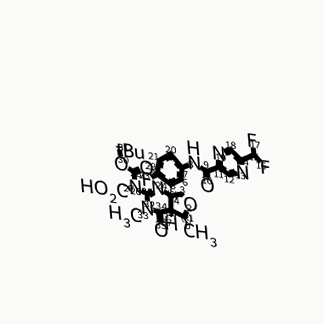 C[C@H]1OC[C@]2(c3cc(NC(=O)c4cnc(C(F)F)cn4)ccc3F)N=C(N(C(=O)O)C(=O)OC(C)(C)C)N(C)C(=O)[C@H]12